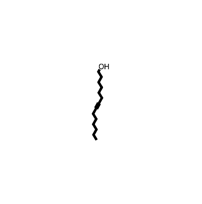 CCCCCCC#CCCCCCCO